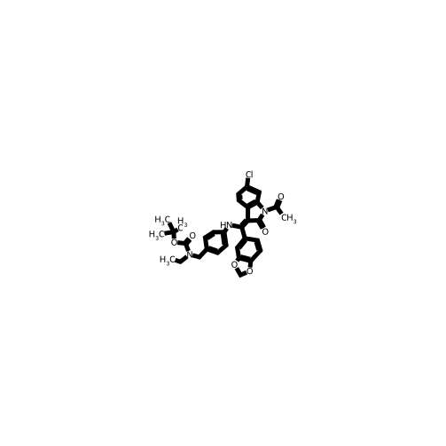 CCN(Cc1ccc(NC(=C2C(=O)N(C(C)=O)c3cc(Cl)ccc32)c2ccc3c(c2)OCO3)cc1)C(=O)OC(C)(C)C